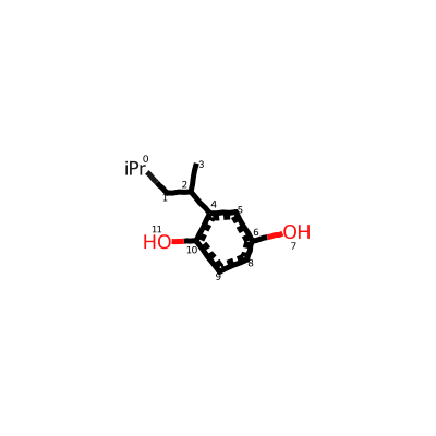 CC(C)CC(C)c1cc(O)ccc1O